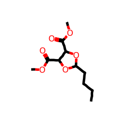 CCCCC1OC(C(=O)OC)C(C(=O)OC)O1